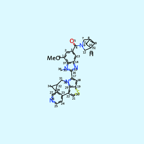 COc1cc(C(=O)N2CC3=C[C@H](C3)C2)cc2nc(-c3cc4scc(-c5ccncc5)c4n3CC3CC3)n(C)c12